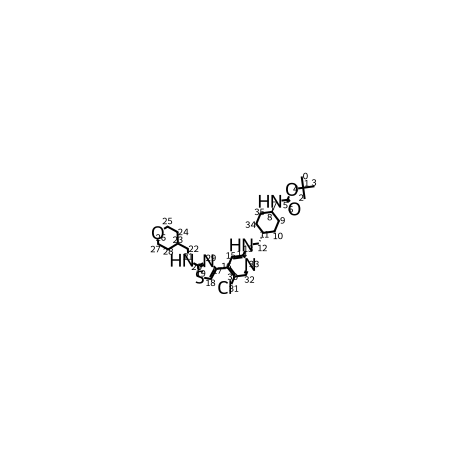 CC(C)(C)OC(=O)N[C@H]1CC[C@H](CNc2cc(-c3csc(NCC4CCOCC4)n3)c(Cl)cn2)CC1